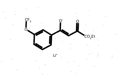 CCOC(=O)C(=O)/C=C(\[O-])c1cccc(OC(F)(F)F)c1.[Li+]